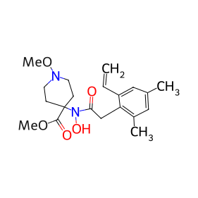 C=Cc1cc(C)cc(C)c1CC(=O)N(O)C1(C(=O)OC)CCN(OC)CC1